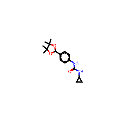 CC1(C)OC(c2ccc(NC(=O)NC3CC3)cc2)OC1(C)C